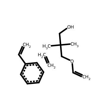 C=C.C=COCC(C)(C)CO.C=Cc1ccccc1